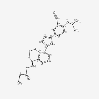 COC(=O)CN[C@H]1CCCc2c(-c3nnc(-c4ccc(OC(C)C)c(C#N)c4)s3)cccc21